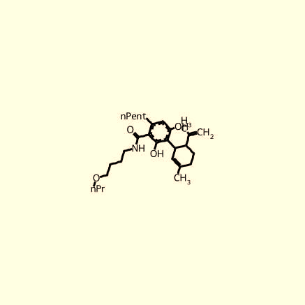 C=C(C)C1CCC(C)=CC1c1c(O)cc(CCCCC)c(C(=O)NCCCCOCCC)c1O